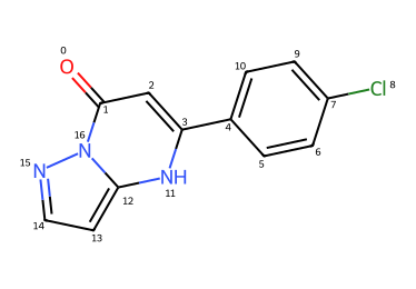 O=c1cc(-c2ccc(Cl)cc2)[nH]c2ccnn12